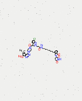 C[C@@H]1C[C@@H](O)c2ncnc(N3CCN(C(=O)[C@H](CNCCC(=O)NCCCCCCCCCc4cccc5c4CN(C4CCC(=O)NC4=O)C5=O)c4ccc(Cl)cc4)CC3)c21